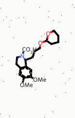 COc1cc2c(cc1OC)C(CCCOC1CCCCO1)N(C(=O)O)CC2